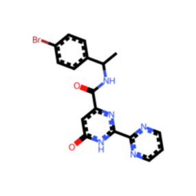 CC(NC(=O)c1cc(=O)[nH]c(-c2ncccn2)n1)c1ccc(Br)cc1